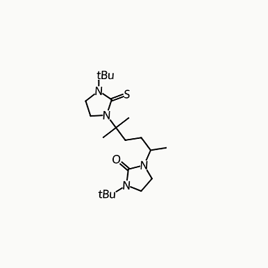 CC(CCC(C)(C)N1CCN(C(C)(C)C)C1=S)N1CCN(C(C)(C)C)C1=O